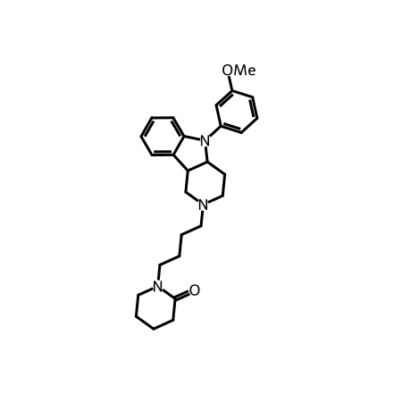 COc1cccc(N2c3ccccc3C3CN(CCCCN4CCCCC4=O)CCC32)c1